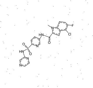 Cn1c(C(=O)Nc2ccc(S(=O)(=O)Nc3cnccn3)nc2)cc2c(Cl)c(F)ccc21